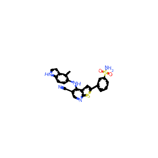 Cc1c(Nc2c(C#N)cnc3sc(-c4cccc(S(N)(=O)=O)c4)cc23)ccc2[nH]ccc12